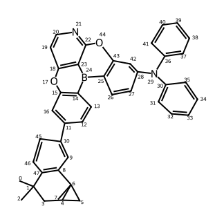 CC1(C)CC2CC2(C)c2cc(-c3ccc4c(c3)Oc3ccnc5c3B4c3ccc(N(c4ccccc4)c4ccccc4)cc3O5)ccc21